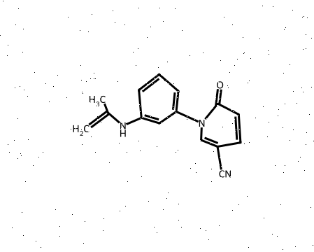 C=C(C)Nc1cccc(-n2cc(C#N)ccc2=O)c1